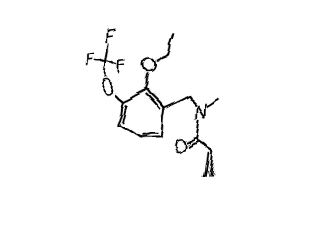 C=CC(=O)N(C)Cc1cccc(OC(F)(F)F)c1OCC